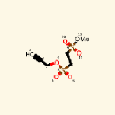 C#CCOS(=O)(=O)CCS(=O)(=O)OC